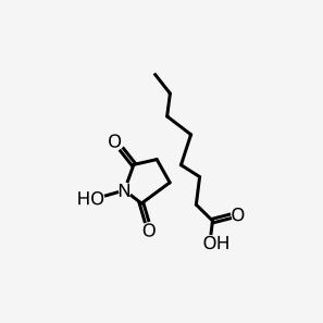 CCCCCCCC(=O)O.O=C1CCC(=O)N1O